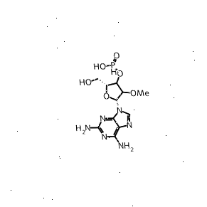 COC1C(O[PH](=O)O)[C@@H](CO)O[C@H]1n1cnc2c(N)nc(N)nc21